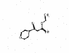 CCOC(=N)CC(=O)N1CCOCC1